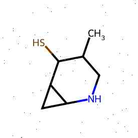 CC1CNC2CC2C1S